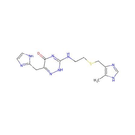 Cc1[nH]cnc1CSCCNc1nc(=O)c(Cc2ncc[nH]2)n[nH]1